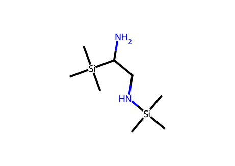 C[Si](C)(C)NCC(N)[Si](C)(C)C